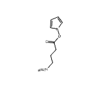 CCCCCCCCCCC(=O)On1cccc1